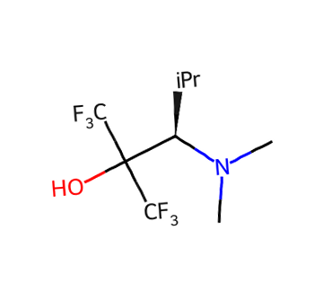 CC(C)[C@@H](N(C)C)C(O)(C(F)(F)F)C(F)(F)F